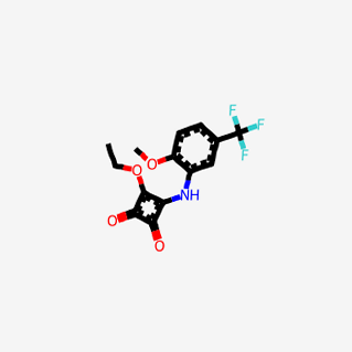 CCOc1c(Nc2cc(C(F)(F)F)ccc2OC)c(=O)c1=O